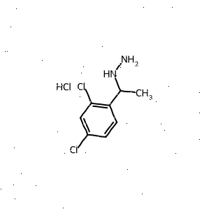 CC(NN)c1ccc(Cl)cc1Cl.Cl